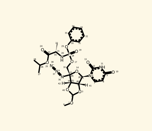 COC1O[C@H]2[C@H](n3ccc(=O)[nH]c3=O)O[C@@](COP(=O)(N[C@@H](C)C(=O)OC(C)C)Oc3ccccc3)(N=[N+]=[N-])[C@H]2O1